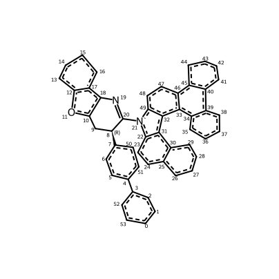 c1ccc(-c2ccc([C@H]3Cc4oc5ccccc5c4N=C3n3c4ccc5ccccc5c4c4c5c6ccccc6c6ccccc6c5ccc43)cc2)cc1